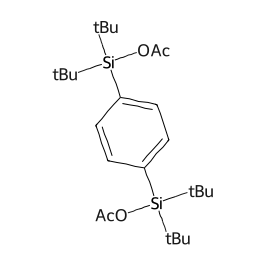 CC(=O)O[Si](c1ccc([Si](OC(C)=O)(C(C)(C)C)C(C)(C)C)cc1)(C(C)(C)C)C(C)(C)C